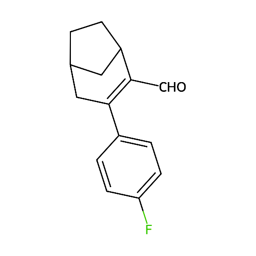 O=CC1=C(c2ccc(F)cc2)CC2CCC1C2